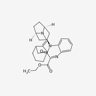 CCOC(=O)c1nc2ccccc2n([C@H]2C[C@H]3CC[C@@H](C2)N3C=C2C3CCCC2C3)c1=O